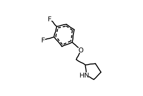 Fc1ccc(OCC2CCCN2)cc1F